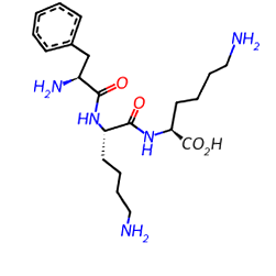 NCCCC[C@H](NC(=O)[C@H](CCCCN)NC(=O)[C@@H](N)Cc1ccccc1)C(=O)O